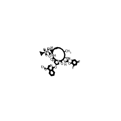 CCOc1cnc(O[C@@H]2C[C@H]3C(=O)N[C@]4(C(=O)N(C)S(=O)(=O)C5CC5)C[C@H]4/C=C\CC[C@@H](C)C[C@@H](C)[C@H](NC(=O)Oc4ccc(F)cc4F)C(=O)N3C2)c2ccccc12